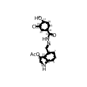 CC(=O)Oc1c[nH]c2cccc(C=NNC(=O)c3ccc(O)c(Cl)c3)c12